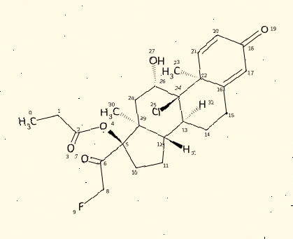 CCC(=O)O[C@]1(C(=O)CF)CC[C@H]2[C@@H]3CCC4=CC(=O)C=C[C@]4(C)[C@@]3(Cl)[C@@H](O)C[C@@]21C